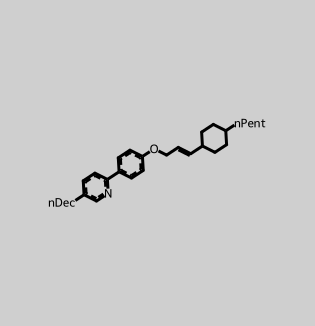 CCCCCCCCCCc1ccc(-c2ccc(OC/C=C/C3CCC(CCCCC)CC3)cc2)nc1